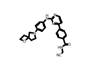 N#CCNC(=O)c1ccc(-c2ccnc(Nc3ccc(N4CCC5(CCO5)C4)cc3)n2)cc1